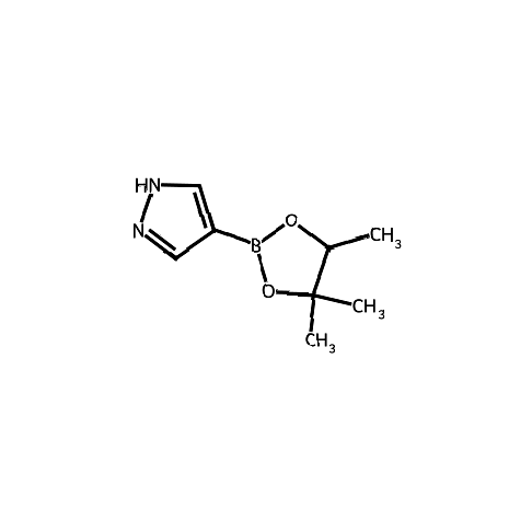 CC1OB(c2cn[nH]c2)OC1(C)C